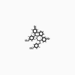 CC(C)(C)c1ccc(CC2CCB3c4c(cccc4-c4cc(Br)ccc4C3c3ccc(C(C)(C)C)cc3)-c3cc(Br)ccc32)cc1